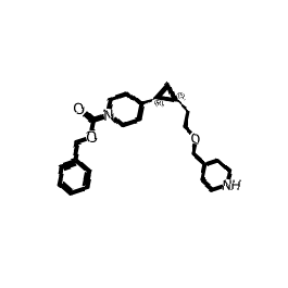 O=C(OCc1ccccc1)N1CCC([C@H]2C[C@H]2CCOCC2CCNCC2)CC1